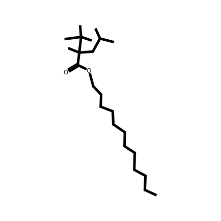 CCCCCCCCCCCCOC(=O)C(C)(CC(C)C)C(C)(C)C